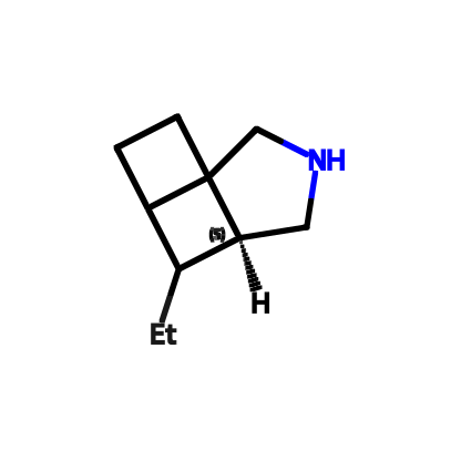 CCC1C2CCC23CNC[C@@H]13